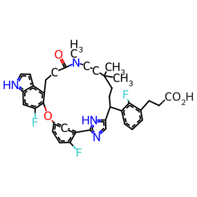 CN1CCC(C)(C)CCC(c2cccc(CCC(=O)O)c2F)c2cnc([nH]2)-c2cc(ccc2F)Oc2c(F)cc3[nH]ccc3c2CCC1=O